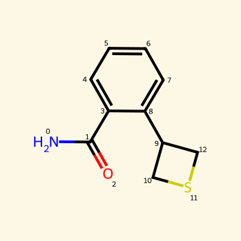 NC(=O)c1ccccc1C1CSC1